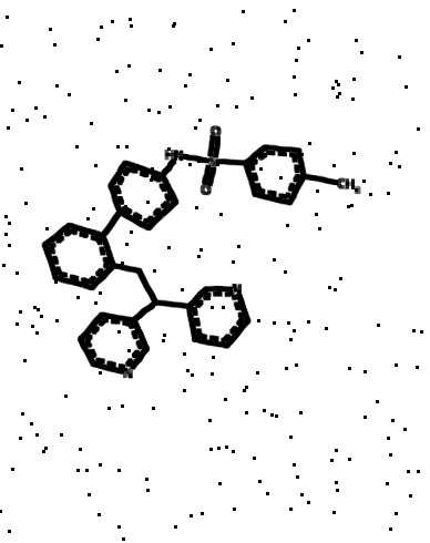 Cc1ccc(S(=O)(=O)Nc2ccc(-c3ccccc3CC(c3cccnc3)c3cccnc3)cc2)cc1